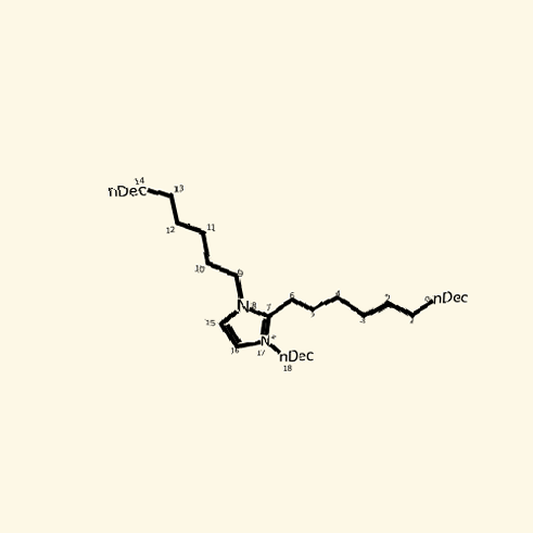 CCCCCCCCCCCCCCCCc1n(CCCCCCCCCCCCCCC)cc[n+]1CCCCCCCCCC